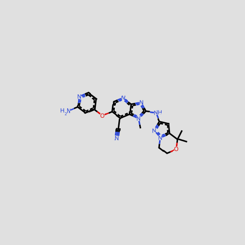 Cn1c(Nc2cc3n(n2)CCOC3(C)C)nc2ncc(Oc3ccnc(N)c3)c(C#N)c21